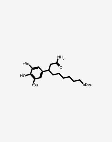 CCCCCCCCCCCCCCCCC(CC(N)=O)c1cc(C(C)(C)C)c(O)c(C(C)(C)C)c1